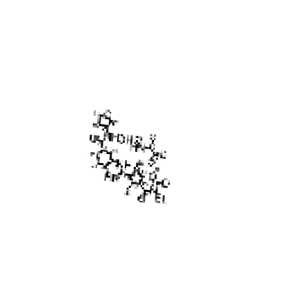 CCN(C(=O)OCOC(=O)C(C)NC=O)C(=O)c1cn(C)c(C(=N)Nc2cc(C(=O)Nc3ccon3)ccc2C)c1C